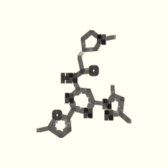 Cc1cc(C)n(-c2cc(NC(=O)C[C@@H]3CCN(C)C3)nc(-c3ccc(C)o3)n2)n1